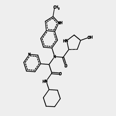 Cc1cc2ccc(N(C(=O)C3CC(O)CN3)C(C(=O)NC3CCCCC3)c3cccnc3)cc2[nH]1